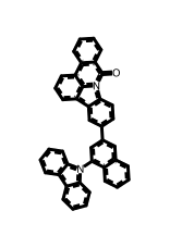 O=c1c2ccccc2c2cccc3c4cc(-c5cc(-n6c7ccccc7c7ccccc76)c6ccccc6c5)ccc4n1c23